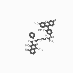 C=C(NCCOCCN(C(=O)c1c(O)c2c(CC)cccc2n(C)c1=O)c1ccccc1)Nc1ccc(-c2c3ccc(=O)cc-3oc3cc(O)ccc23)c(C(=O)O)c1